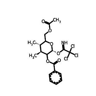 CC(=O)OCC1O[C@H](OC(=N)C(Cl)(Cl)Cl)C(OC(=O)c2ccccc2)[C@@H](C)[C@@H]1C